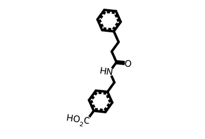 O=C(CCc1ccccc1)NCc1ccc(C(=O)O)cc1